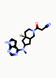 CN(c1ncnc2[nH]ccc12)C1CC2CN(C(=O)CC#N)CC[C@H]2C1